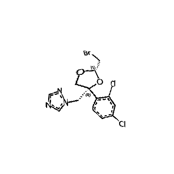 Clc1ccc([C@@]2(Cn3cncn3)CO[C@H](CBr)O2)c(Cl)c1